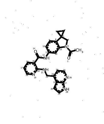 CC(=O)N1CC2(CC2)c2ccc(NC(=O)c3cccnc3NCc3ccnc4[nH]ccc34)cc21